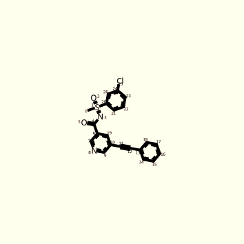 CS(=O)(=NC(=O)c1cncc(C#Cc2ccccc2)c1)c1cccc(Cl)c1